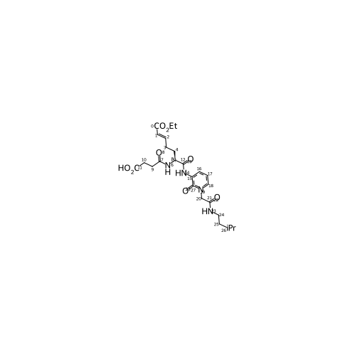 CCOC(=O)C=CCC[C@H](NC(=O)CCC(=O)O)C(=O)Nc1cccn(CC(=O)NCCC(C)C)c1=O